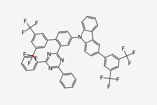 FC(F)(F)c1cc(-c2ccc3c(c2)c2ccccc2n3-c2ccc(-c3cc(C(F)(F)F)cc(C(F)(F)F)c3)c(-c3nc(-c4ccccc4)nc(-c4ccccc4)n3)c2)cc(C(F)(F)F)c1